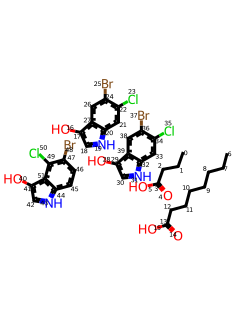 CCCC(=O)O.CCCCCCCC(=O)O.Oc1c[nH]c2cc(Cl)c(Br)cc12.Oc1c[nH]c2cc(Cl)c(Br)cc12.Oc1c[nH]c2ccc(Br)c(Cl)c12